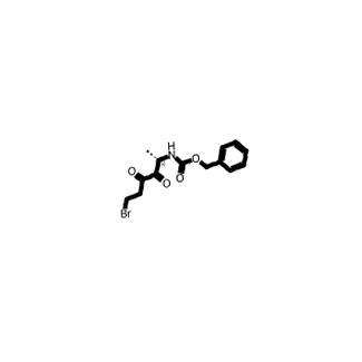 C[C@H](NC(=O)OCc1ccccc1)C(=O)C(=O)CCBr